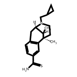 C[C@@H]1[C@H]2Cc3ccc(C(N)=S)cc3[C@]1(C)CCN2CC1CC1